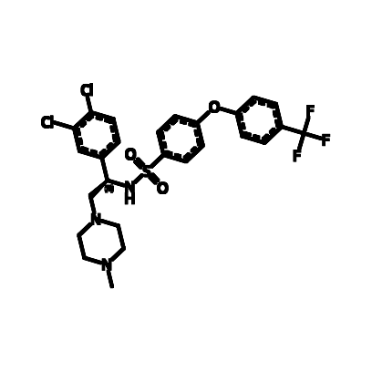 CN1CCN(C[C@H](NS(=O)(=O)c2ccc(Oc3ccc(C(F)(F)F)cc3)cc2)c2ccc(Cl)c(Cl)c2)CC1